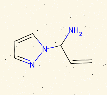 C=CC(N)n1cccn1